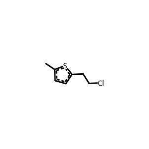 Cc1ccc(CCCl)s1